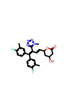 Cc1cc(C(=C(C=CC2CC(O)CC(=O)O2)c2nnnn2C)c2ccc(F)c(C)c2)ccc1F